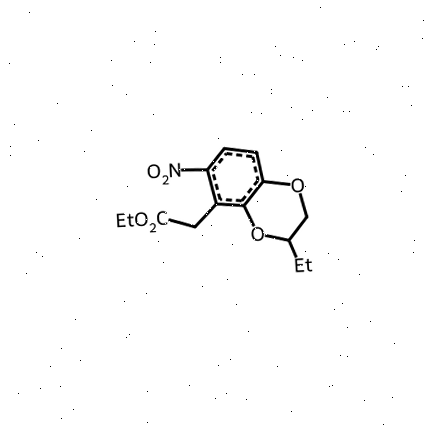 CCOC(=O)Cc1c([N+](=O)[O-])ccc2c1OC(CC)CO2